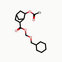 CCC(=O)OC1CC2CC(C(=O)OCOCC3CCCCC3)C1C2